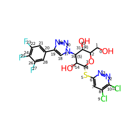 OCC1O[C@H](Sc2cc(Cl)c(Cl)nn2)C(O)[C@@H](n2cc(-c3cc(F)c(F)c(F)c3)nn2)[C@H]1O